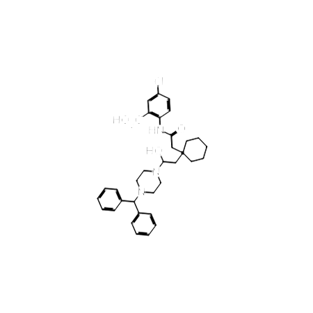 O=C(CC1(CC(O)N2CCN(C(c3ccccc3)c3ccccc3)CC2)CCCCC1)Nc1ccc(Cl)cc1C(=O)O